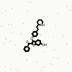 O=C(c1ccccc1)c1sc2cc(O)ccc2c1Oc1ccc(CCC2CCCCN2)cc1